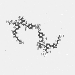 CNC(=O)c1nc(-c2cnn(CCCCO)c2)ccc1Nc1nc(Nc2ccc(CO[PH](=O)OCc3ccc(Nc4ncc(C(F)(F)F)c(Nc5ccc(-c6cnn(CCCCO)c6)nc5C(=O)NC)n4)cc3)cc2)ncc1C(F)(F)F